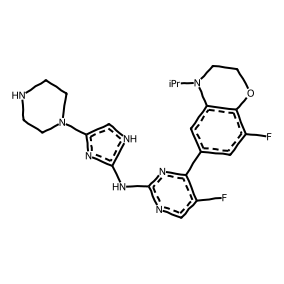 CC(C)N1CCOc2c(F)cc(-c3nc(Nc4nc(N5CCNCC5)c[nH]4)ncc3F)cc21